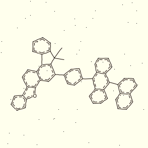 CC1(C)c2ccccc2-c2c1c(-c1ccc(-c3c4ccccc4c(-c4cccc5ccccc45)c4ccccc34)cc1)cc1c2ccc2c3ccccc3oc12